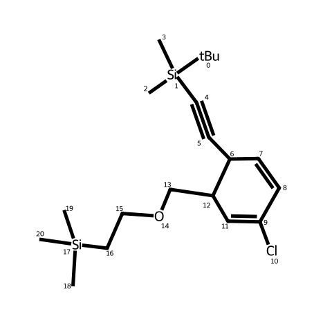 CC(C)(C)[Si](C)(C)C#CC1C=CC(Cl)=CC1COCC[Si](C)(C)C